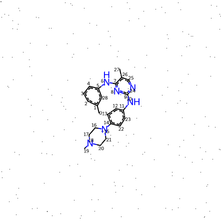 Cc1cccc(Nc2nc(Nc3ccc(N4CCN(C)CC4)cc3)ncc2C)c1